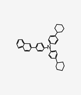 c1ccc2cc(-c3ccc(N(c4ccc(C5CCCCC5)cc4)c4ccc(C5CCCCC5)cc4)cc3)ccc2c1